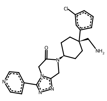 NC[C@]1(c2cccc(Cl)c2)CC[C@H](N2Cc3nnc(-c4ccncc4)n3CC2=O)CC1